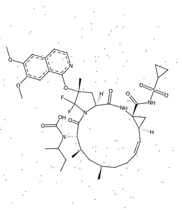 CCC(C)N(C(=O)O)[C@@H]1C(=O)N2[C@@H](C[C@@](C)(Oc3nccc4cc(OC)c(OC)cc34)C2(F)F)C(=O)N[C@]2(C(=O)NS(=O)(=O)C3CC3)C[C@H]2/C=C\CC[C@@H](C)C[C@H]1C